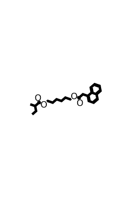 CCC(C)C(=O)OCCCCCCOC(=O)Cc1cccc2ccccc12